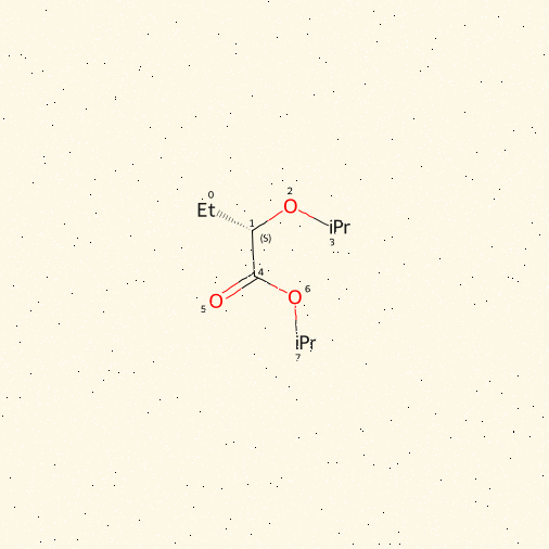 CC[C@H](OC(C)C)C(=O)OC(C)C